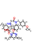 COc1ccc(CN2C(=O)CNC(c3cccc(C)c3)(C(Oc3nc(C)cc(C)n3)C(=O)O)c3ccccc32)cc1